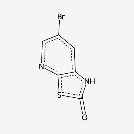 O=c1[nH]c2cc(Br)cnc2s1